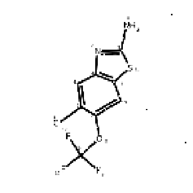 Nc1nc2cc(Cl)c(OC(F)(F)F)cc2s1